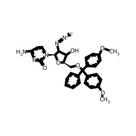 COc1ccc(C(OC[C@H]2O[C@@H](n3ccc(N)nc3=O)C(N=[N+]=[N-])C2O)(c2ccccc2)c2ccc(OC)cc2)cc1